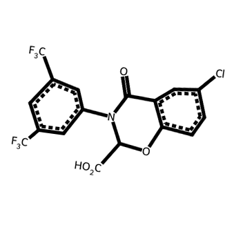 O=C(O)C1Oc2ccc(Cl)cc2C(=O)N1c1cc(C(F)(F)F)cc(C(F)(F)F)c1